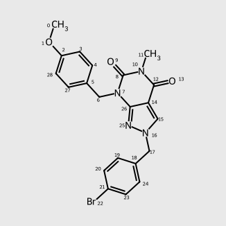 COc1ccc(Cn2c(=O)n(C)c(=O)c3cn(Cc4ccc(Br)cc4)nc32)cc1